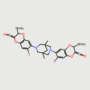 CC(=O)NC1Oc2cc(N3CC4(C)CN(c5cc6c(cc5I)OC(=C=O)C(NC(C)=O)O6)CC(C)(C3)C4)c(I)cc2OC1=C=O